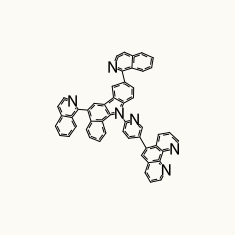 c1ccc2c(-c3ccc4c(c3)c3cc(-c5nccc6ccccc56)c5ccccc5c3n4-c3ccc(-c4cc5cccnc5c5ncccc45)cn3)nccc2c1